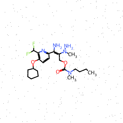 CCCCN(C)C(=O)OC/C(=C(/N)c1ccc(OC2CCCCC2)c(C(F)F)n1)N(C)N